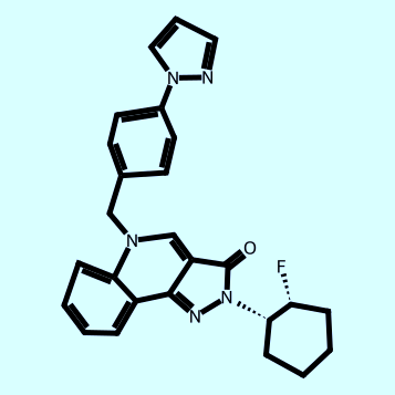 O=c1c2cn(Cc3ccc(-n4cccn4)cc3)c3ccccc3c-2nn1[C@H]1CCCC[C@H]1F